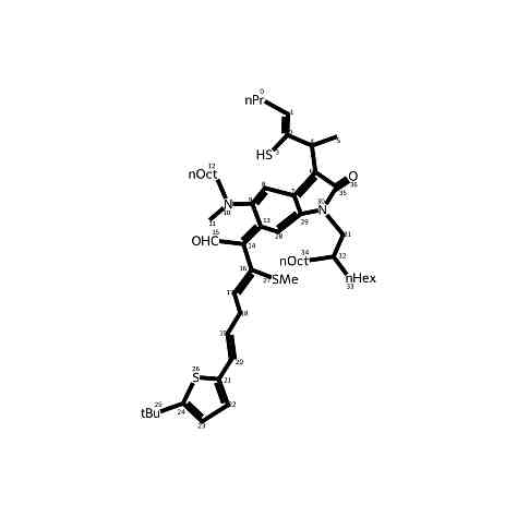 CCC/C=C(\S)C(C)C1=c2cc(N(C)CCCCCCCC)/c(=C(C=O)/C(=C/C/C=C/c3ccc(C(C)(C)C)s3)SC)cc2N(CC(CCCCCC)CCCCCCCC)C1=O